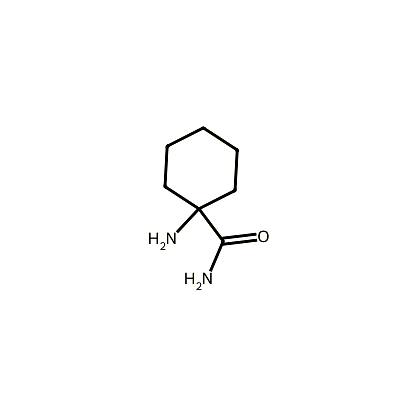 NC(=O)C1(N)CCCCC1